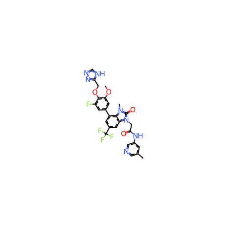 COc1cc(-c2cc(C(F)(F)F)cc3c2n(C)c(=O)n3CC(=O)Nc2cncc(C)c2)cc(F)c1OCc1nnc[nH]1